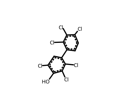 Oc1c(Cl)cc(-c2ccc(Cl)c(Cl)c2Cl)c(Cl)c1Cl